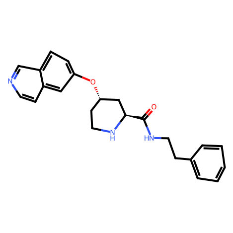 O=C(NCCc1ccccc1)[C@@H]1C[C@@H](Oc2ccc3cnccc3c2)CCN1